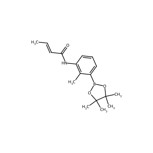 C/C=C/C(=O)Nc1cccc(B2OC(C)(C)C(C)(C)O2)c1C